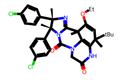 CCOC1=CC(C)(C(C)(C)C)C2=C3N(CC(=O)N2)C(=O)N2C(=N[C@@](C)(c4ccc(Cl)cc4)[C@@]2(C)c2ccc(Cl)cc2)C13C